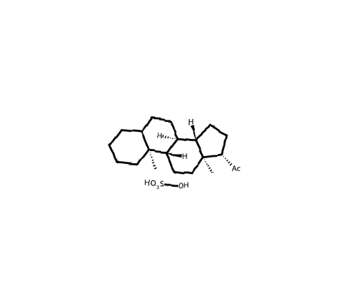 CC(=O)[C@H]1CC[C@H]2[C@@H]3CCC4CCCC[C@]4(C)[C@H]3CC[C@]12C.O=S(=O)(O)O